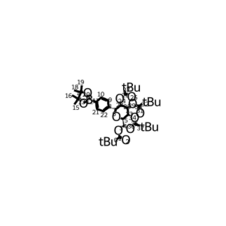 CC(C)(C)C(=O)OC[C@H]1O[C@H](c2ccc(B3OC(C)(C)C(C)(C)O3)cc2)[C@@H](OC(=O)C(C)(C)C)[C@@H](OC(=O)C(C)(C)C)[C@@H]1OC(=O)C(C)(C)C